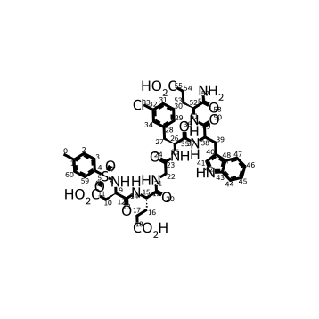 Cc1ccc(S(=O)(=O)N[C@H](CC(=O)O)C(=O)N[C@@H](CCC(=O)O)C(=O)NCC(=O)N[C@@H](Cc2cccc(Cl)c2)C(=O)NC(Cc2c[nH]c3ccccc23)C(=O)N[C@@H](CCC(=O)O)C(N)=O)cc1